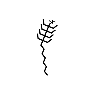 CCCCCCCCC(CC)(CC)C(CC)(CC)C(CC)(CC)C(S)(CC)CC